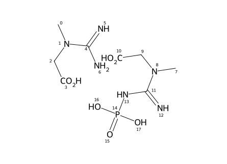 CN(CC(=O)O)C(=N)N.CN(CC(=O)O)C(=N)NP(=O)(O)O